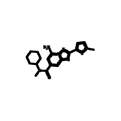 Cc1ccc(-c2nc3cc(C(=O)N(C)C4CCCCC4)cc(N)n3n2)s1